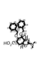 CN(C)C1=N[C@H]2[C@H](C[C@H](C(=O)O)[C@@H](OCc3ccccc3)[C@]2(C)OCc2ccccc2)O1